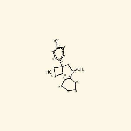 CN(CC1(c2ccc(Cl)cc2)CCC1)C1CCCCC1.Cl